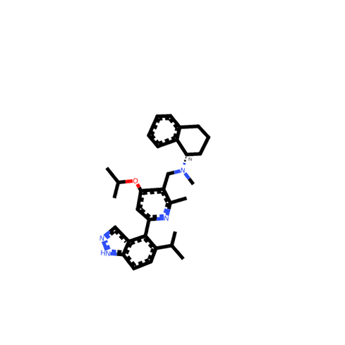 Cc1nc(-c2c(C(C)C)ccc3[nH]ncc23)cc(OC(C)C)c1CN(C)[C@H]1CCCc2ccccc21